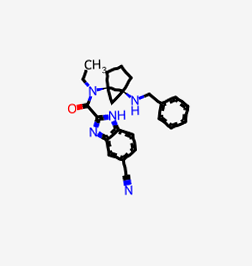 CCN(C(=O)c1nc2cc(C#N)ccc2[nH]1)[C@@]12CCC[C@]1(NCc1ccccc1)C2